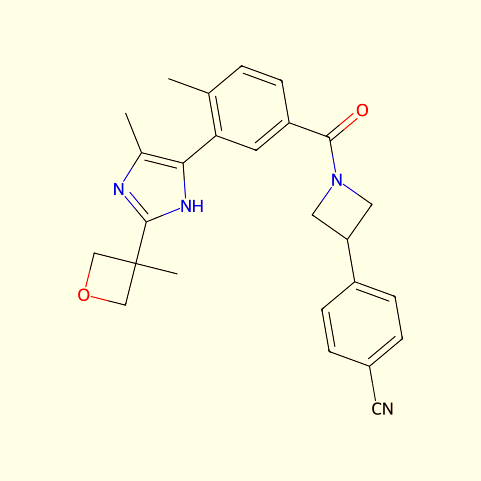 Cc1ccc(C(=O)N2CC(c3ccc(C#N)cc3)C2)cc1-c1[nH]c(C2(C)COC2)nc1C